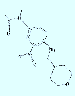 CC(=O)N(C)c1ccc(NCC2CCOCC2)c([N+](=O)[O-])c1